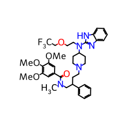 COc1cc(C(=O)N(C)CC(CCN2CCC(N(CCOCC(F)(F)F)c3nc4ccccc4[nH]3)CC2)c2ccccc2)cc(OC)c1OC